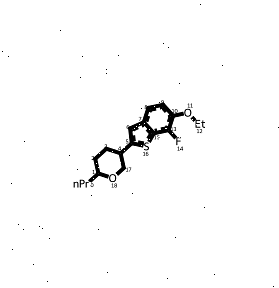 CCCC1CCC(c2cc3ccc(OCC)c(F)c3s2)CO1